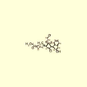 C=CC(=O)N1CC(CN(C)c2cc(Cl)c(-c3cc(O)cc4ccccc34)c(F)c2OCC=O)C1